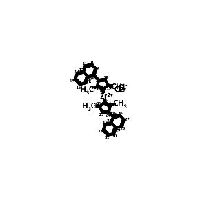 CC1=[C]([Zr+2][C]2=C(C)C(c3cccc4ccccc34)=CC2C)C(C)C=C1c1cccc2ccccc12.[Cl-].[Cl-]